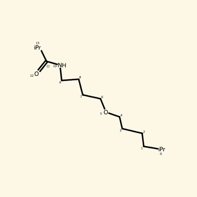 CC(C)CCCCOCCCCNC(=O)C(C)C